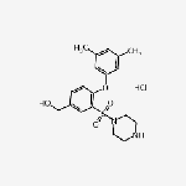 Cc1cc(C)cc(Oc2ccc(CO)cc2S(=O)(=O)N2CCNCC2)c1.Cl